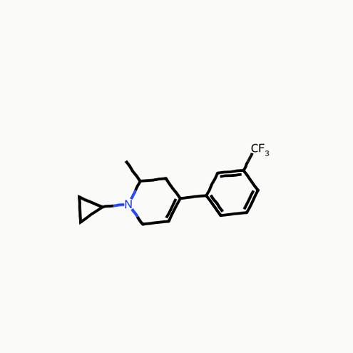 CC1CC(c2cccc(C(F)(F)F)c2)=CCN1C1CC1